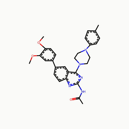 COc1ccc(-c2ccc3nc(NC(C)=O)nc(N4CCN(c5ccc(C)cc5)CC4)c3c2)cc1OC